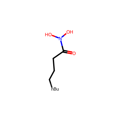 CCCCCCCC(=O)N(O)O